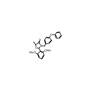 COc1cccc(OC)c1C1OC(C)C(=O)N1Cc1ccc(Oc2ccccc2)cc1